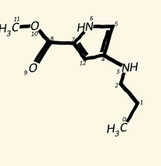 CCCNc1c[nH]c(C(=O)OC)c1